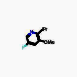 COc1cc(F)cnc1C(C)C